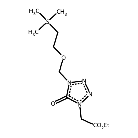 CCOC(=O)Cn1nnn(COCCS(C)(C)C)c1=O